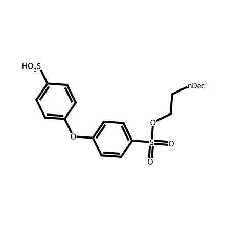 CCCCCCCCCCCCOS(=O)(=O)c1ccc(Oc2ccc(S(=O)(=O)O)cc2)cc1